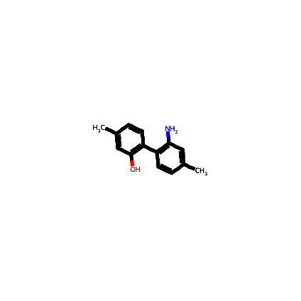 Cc1ccc(-c2ccc(C)cc2O)c(N)c1